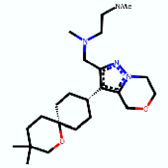 CNCCN(C)Cc1nn2c(c1[C@H]1CC[C@]3(CCC(C)(C)CO3)CC1)COCC2